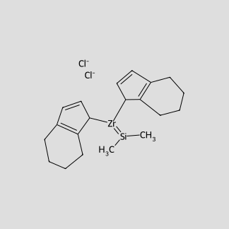 C[Si](C)=[Zr]([CH]1C=CC2=C1CCCC2)[CH]1C=CC2=C1CCCC2.[Cl-].[Cl-]